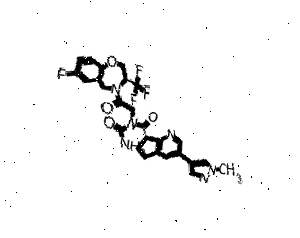 Cn1cc(-c2cnc3c(c2)CC[C@@H]3C(=O)N(CC(=O)N2Cc3cc(F)ccc3OC[C@H]2C(F)(F)F)C(N)=O)cn1